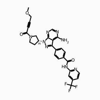 COCC#CC(=O)N1CC[C@@H](n2nc(-c3ccc(C(=O)Nc4cc(C(F)(F)F)ccn4)cc3)c3c(N)ncnc32)C1